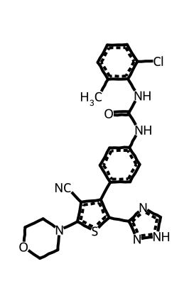 Cc1cccc(Cl)c1NC(=O)Nc1ccc(-c2c(-c3nc[nH]n3)sc(N3CCOCC3)c2C#N)cc1